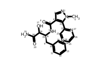 Cn1ncc(C(=O)N[C@@H](Cc2ccccc2)C(O)C(N)=O)c1-c1cnccn1